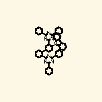 c1ccc(-c2nc(-c3ccccc3)nc(-c3ccccc3-c3ccc(-n4c5ccccc5c5ccccc54)c(-c4nc(-c5ccccc5)nc(-c5ccccc5)n4)c3)n2)cc1